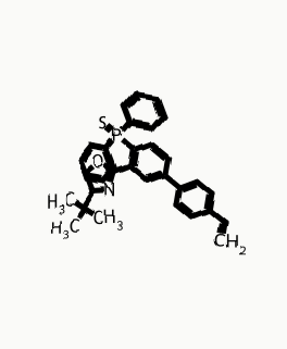 C=Cc1ccc(-c2ccc(P(=S)(c3ccccc3)c3ccccc3)c(C3=NC(C(C)(C)C)CO3)c2)cc1